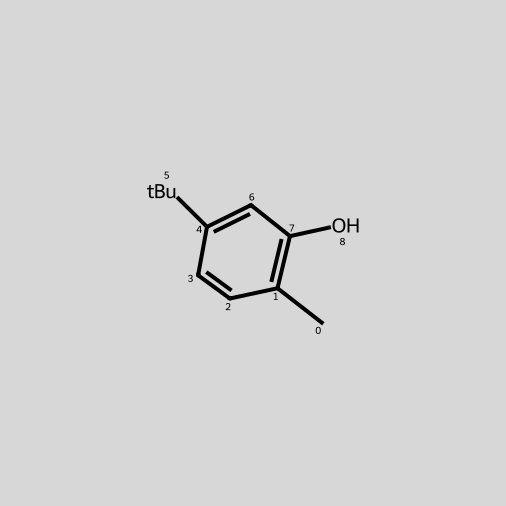 Cc1ccc(C(C)(C)C)cc1O